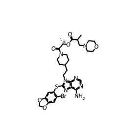 CC(CN1CCOCC1)C(=O)O[C@@H](C)C(=O)N1CCC(CCn2c(Sc3cc4c(cc3Br)OCO4)nc3c(N)ncnc32)CC1